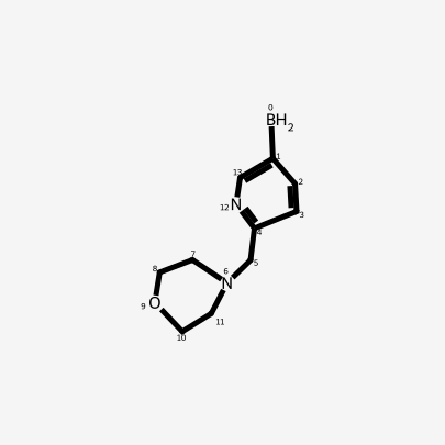 Bc1ccc(CN2CCOCC2)nc1